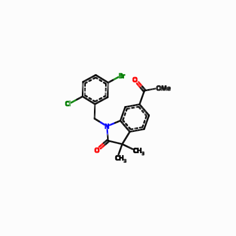 COC(=O)c1ccc2c(c1)N(Cc1cc(Br)ccc1Cl)C(=O)C2(C)C